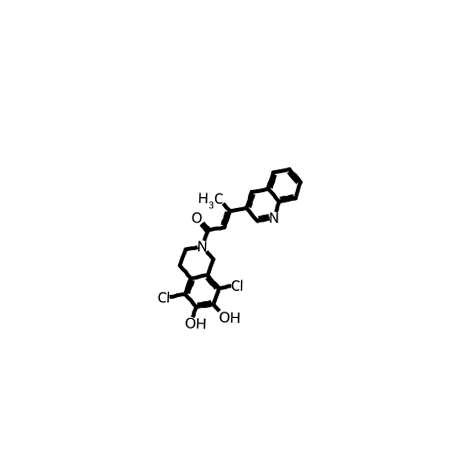 C/C(=C\C(=O)N1CCc2c(Cl)c(O)c(O)c(Cl)c2C1)c1cnc2ccccc2c1